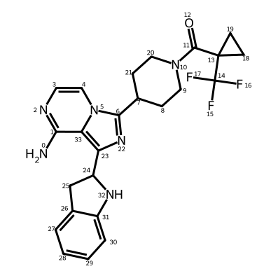 Nc1nccn2c(C3CCN(C(=O)C4(C(F)(F)F)CC4)CC3)nc(C3Cc4ccccc4N3)c12